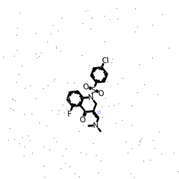 CN(C)/C=C1/CN(S(=O)(=O)c2ccc(Cl)cc2)c2cccc(F)c2C1=O